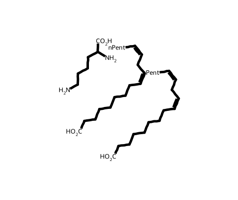 CCCCC/C=C\C/C=C\CCCCCCCC(=O)O.CCCCC/C=C\C/C=C\CCCCCCCC(=O)O.NCCCCC(N)C(=O)O